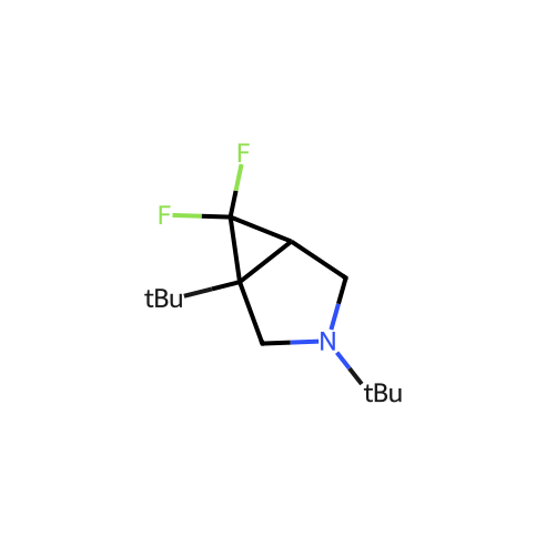 CC(C)(C)N1CC2C(F)(F)C2(C(C)(C)C)C1